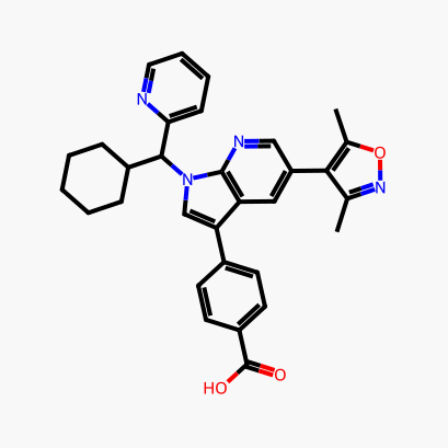 Cc1noc(C)c1-c1cnc2c(c1)c(-c1ccc(C(=O)O)cc1)cn2C(c1ccccn1)C1CCCCC1